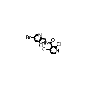 O=C(NCc1ncc(Br)cc1Cl)c1c(Cl)ccnc1Cl